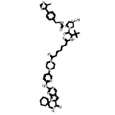 Cc1ncsc1-c1ccc(CNC(=O)[C@@H]2C[C@@H](O)CN2C(=O)C(NC(=O)CCCCCC(=O)N2CCN(c3ccc(Nc4ncc5cc6n(c5n4)C4(CCCCC4)CNC6=O)nc3)CC2)C(C)(C)C)cc1